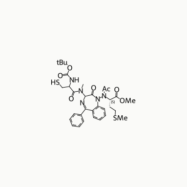 COC(=O)[C@H](CCSC)N(C(C)=O)N1C(=O)C(N(C)C(=O)C(CS)NC(=O)OC(C)(C)C)N=C(c2ccccc2)c2ccccc21